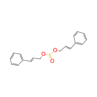 O=S(OCC=Cc1ccccc1)OCC=Cc1ccccc1